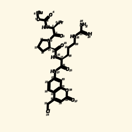 CC(C)[C@H](NC(=O)OC(C)(C)C)C(=O)N1CCC[C@H]1C(=O)N[C@@H](CCCNC(=N)N)C(=O)Nc1ccc2c(CCl)cc(=O)oc2c1